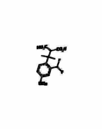 COc1ccc(C(C)(C)C(C(=O)O)C(=O)O)c(C(F)F)c1